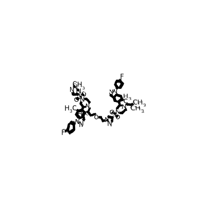 Cc1cc2c(cnn2-c2ccc(F)cc2)cc1C1CN(S(=O)(=O)c2cnn(CCOCCC(C)CN3CCN(S(=O)(=O)c4cnn(C)n4)CC3c3cc4cnn(-c5ccc(F)cc5)c4cc3C)c2)CCN1CC(C)C